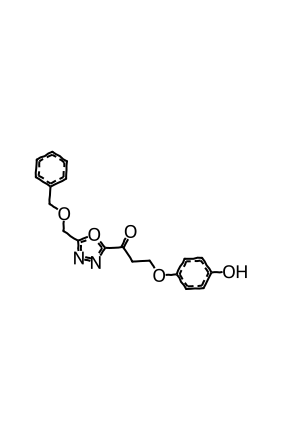 O=C(CCOc1ccc(O)cc1)c1nnc(COCc2ccccc2)o1